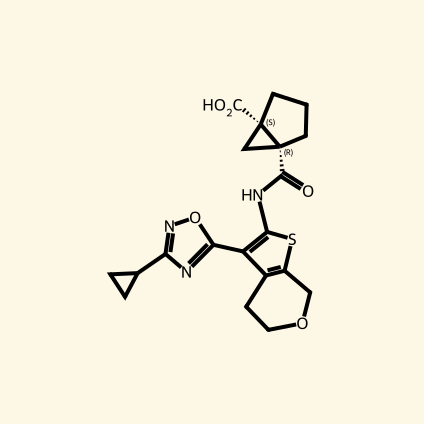 O=C(O)[C@]12CCC[C@@]1(C(=O)Nc1sc3c(c1-c1nc(C4CC4)no1)CCOC3)C2